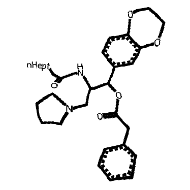 CCCCCCCC(=O)NC(CN1CCCC1)C(OC(=O)Cc1ccccc1)c1ccc2c(c1)OCCO2